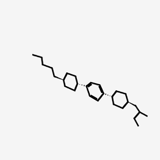 CCCCC[C@H]1CC[C@H](c2ccc([C@H]3CC[C@H](CC(C)CC)CC3)cc2)CC1